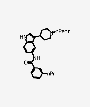 CCCCCN1CCC(c2c[nH]c3ccc(NC(=O)c4cccc(CCC)c4)cc23)CC1